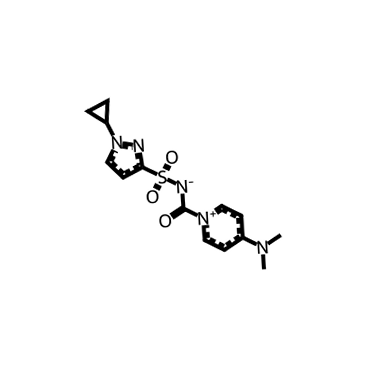 CN(C)c1cc[n+](C(=O)[N-]S(=O)(=O)c2ccn(C3CC3)n2)cc1